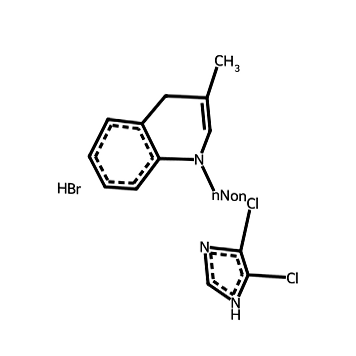 Br.CCCCCCCCCN1C=C(C)Cc2ccccc21.Clc1nc[nH]c1Cl